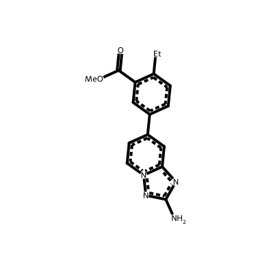 CCc1ccc(-c2ccn3nc(N)nc3c2)cc1C(=O)OC